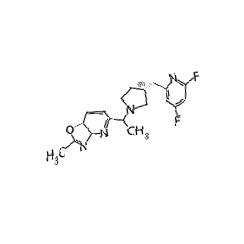 CC1=NC2N=C(C(C)N3CC[C@H](Cc4cc(F)cc(F)n4)C3)C=CC2O1